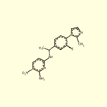 Cc1nccn1-c1ccc(C(C)Nc2ccc([N+](=O)[O-])c(N)n2)cc1F